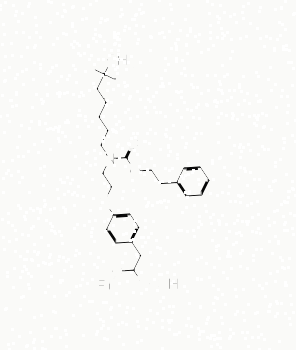 CCOC(Cc1ccc(OCCN(CCCCCC(C)(F)F)C(=O)OCCc2ccccc2)cc1)C(=O)O